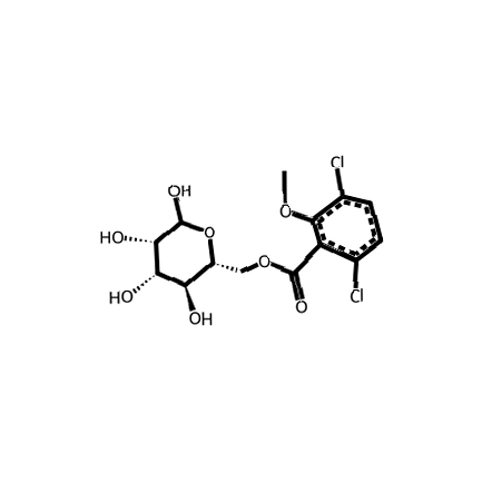 COc1c(Cl)ccc(Cl)c1C(=O)OC[C@H]1OC(O)[C@@H](O)[C@@H](O)[C@@H]1O